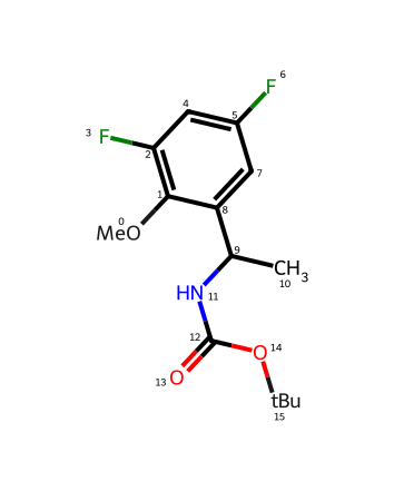 COc1c(F)cc(F)cc1C(C)NC(=O)OC(C)(C)C